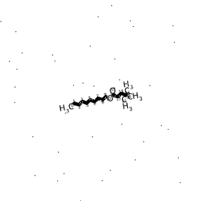 CCCCCCCCCCOC(=O)CCC(C)(C)C